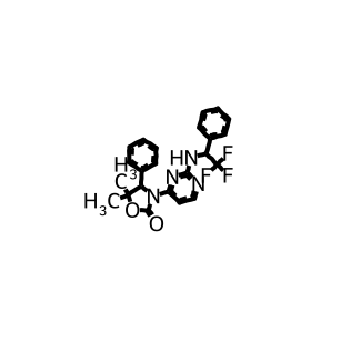 CC1(C)OC(=O)N(c2ccnc(NC(c3ccccc3)C(F)(F)F)n2)C1c1ccccc1